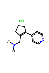 CN(C)CC1=C(c2ccncc2)CCC1.Cl